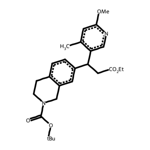 CCOC(=O)CC(c1ccc2c(c1)CN(C(=O)OC(C)(C)C)CC2)c1cnc(OC)cc1C